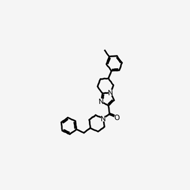 Cc1cccc(C2CCc3nc(C(=O)N4CCC(Cc5ccccc5)CC4)cn3C2)c1